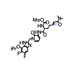 COC(=O)NC(CC/C=C/C(=O)N(C)C)C(=O)Nc1cccn(Cc2nc3cc(F)c(F)c(OC(C)C)c3[nH]2)c1=O